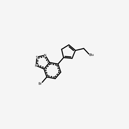 CCC(C)CC1=CCC(c2ccc(Br)c3nsnc23)=C1